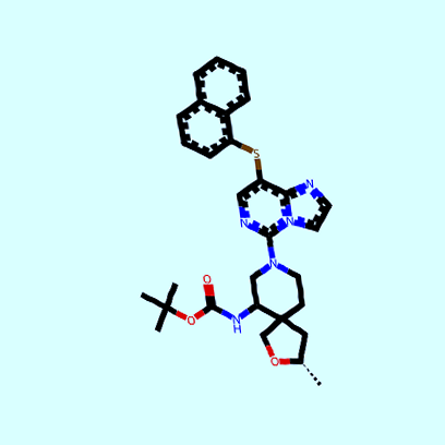 C[C@H]1CC2(CCN(c3ncc(Sc4cccc5ccccc45)c4nccn34)CC2NC(=O)OC(C)(C)C)CO1